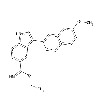 CCOC(=N)c1ccc2[nH]nc(-c3ccc4ccc(OC)cc4c3)c2c1